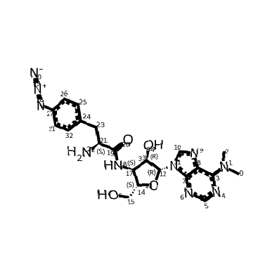 CN(C)c1ncnc2c1ncn2[C@@H]1O[C@H](CO)[C@@H](NC(=O)[C@@H](N)Cc2ccc(N=[N+]=[N-])cc2)[C@H]1O